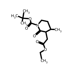 CCOC(=O)CC1C(=O)N(C(=O)OC(C)(C)C)CCC1C